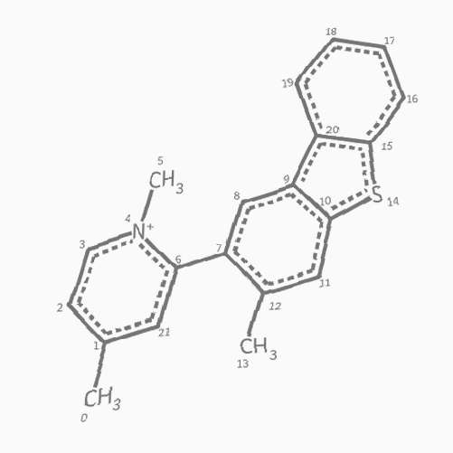 Cc1cc[n+](C)c(-c2cc3c(cc2C)sc2ccccc23)c1